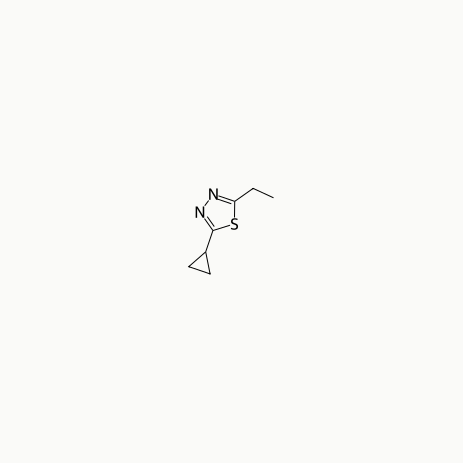 CCc1nnc(C2CC2)s1